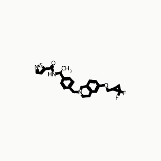 C[C@H](NC(=O)c1ccns1)c1ccc(CN2CCc3cc(OCC4CC4(F)F)ccc3C2)cc1